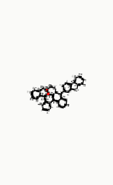 c1ccc(-c2c3ccccc3c(-c3ccc4c(c3)oc3ccccc34)c3ccccc23)c(-c2cccc3ccccc23)c1